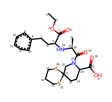 CCOC(=O)C(CCc1ccccc1)N[C@@H](C)C(=O)N1CC2(CCC1C(=O)O)SCCCS2